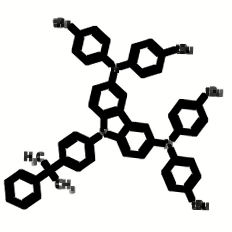 CC(C)(C)c1ccc(N(c2ccc(C(C)(C)C)cc2)c2ccc3c(c2)c2cc(N(c4ccc(C(C)(C)C)cc4)c4ccc(C(C)(C)C)cc4)ccc2n3-c2ccc(C(C)(C)c3ccccc3)cc2)cc1